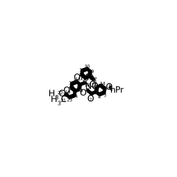 CCCOc1ccc(C(=O)COc2c3c(cc(OC)c2CN=O)OC(C)(C)C=C3)c(OCc2ccccc2)c1